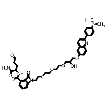 CN(C)c1ccc(-c2ccc3cc(OCC(O)COCCOCCOCCN4C(=O)c5c(C(=O)NC(CCC=O)C(N)=O)cccc54)ccc3n2)cc1